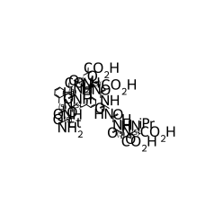 CC[C@H](NC(=O)[C@H](Cc1ccccc1)NC(=O)[C@H](Cc1ccccc1)NC(=O)[C@H](CC(=O)O)NC(=O)[C@H](CCC(=O)O)NC(=O)[C@H](CC(=O)O)NC(=O)CNC(=O)CNC(=O)CNC(=O)[C@H](CC(=O)O)NC(=O)[C@H](CC(=O)O)NC(C)C)C(N)=O